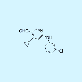 O=Cc1cnc(Nc2cccc(Cl)c2)cc1C1CC1